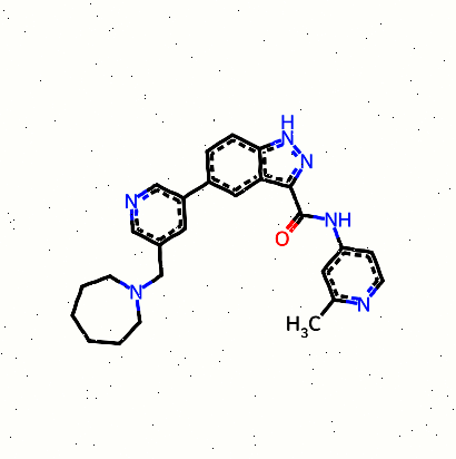 Cc1cc(NC(=O)c2n[nH]c3ccc(-c4cncc(CN5CCCCCC5)c4)cc23)ccn1